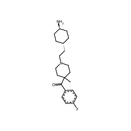 CC1(C(=O)c2ccc(F)cc2)CCN(CC[C@H]2CC[C@H](N)CC2)CC1